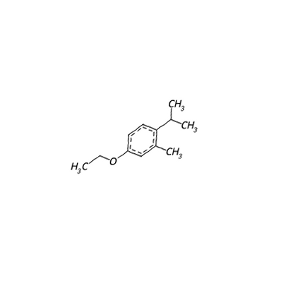 CCOc1ccc(C(C)C)c(C)c1